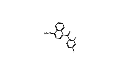 COc1ccc(C(=O)c2ccc(F)cc2C)c2ccccc12